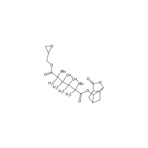 CC(C)(C)C(C)(C(=O)OCC1CO1)C(C)(C)C(C)(C)C(C)(C(=O)OC1C2CC3C(=O)OC1C3C2)C(C)(C)C